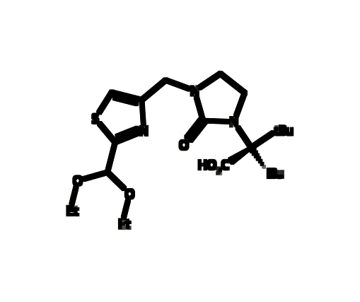 CCOC(OCC)c1nc(CN2CCN([C@@](C(=O)O)([C@@H](C)CC)C(C)(C)C)C2=O)cs1